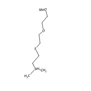 COCCOCCSCC[SiH](C)C